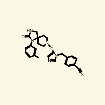 Cc1cccc(N2C(=O)NCC23CCN(Cc2cncn2Cc2ccc(C#N)cc2)CC3)c1